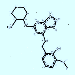 COc1cccc(CNc2nc(NC3CCCCC3N)nc3[nH]nnc23)c1O